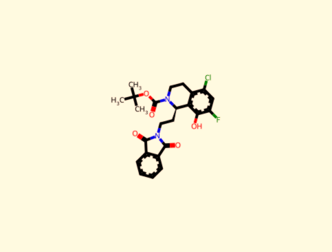 CC(C)(C)OC(=O)N1CCc2c(Cl)cc(F)c(O)c2[C@H]1CCN1C(=O)c2ccccc2C1=O